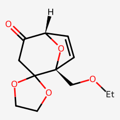 CCOC[C@]12C=C[C@H](O1)C(=O)CC21OCCO1